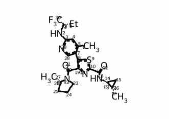 CC[C@H](Nc1cc(C)c(-c2sc(C(=O)N[C@H]3C[C@@H]3C)nc2C(=O)N2CCC[C@@H]2C)cn1)C(F)(F)F